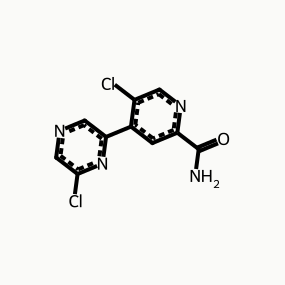 NC(=O)c1cc(-c2cncc(Cl)n2)c(Cl)cn1